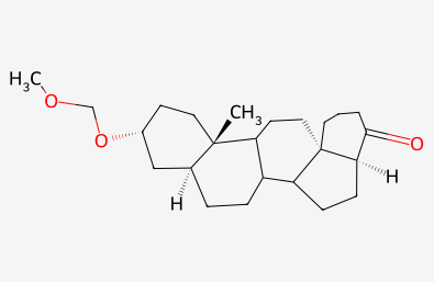 COCO[C@@H]1CC[C@]2(C)C3CC[C@]45CCCC(=O)[C@H]4CCC5C3CC[C@H]2C1